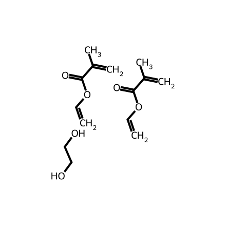 C=COC(=O)C(=C)C.C=COC(=O)C(=C)C.OCCO